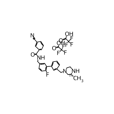 C[C@H]1CN(Cc2cccc(-c3cc(CNC(=O)c4cccc(C#N)c4)ccc3F)c2)CCN1.O=C(O)C(F)(F)F.O=C(O)C(F)(F)F